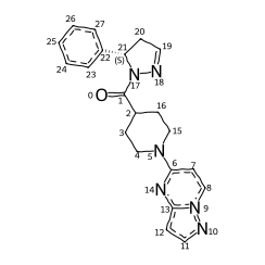 O=C(C1CCN(c2ccn3nccc3n2)CC1)N1N=CC[C@H]1c1ccccc1